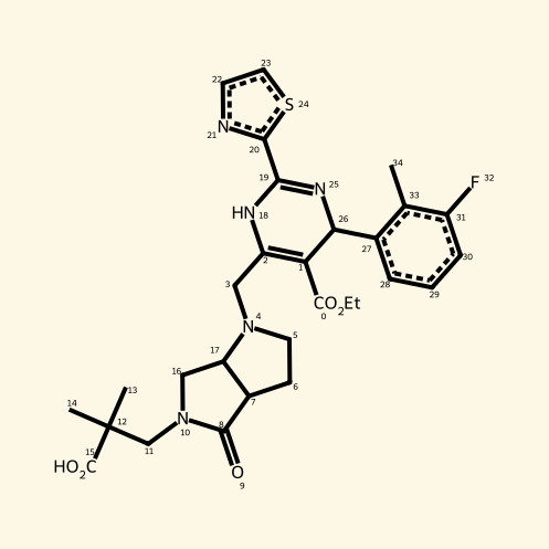 CCOC(=O)C1=C(CN2CCC3C(=O)N(CC(C)(C)C(=O)O)CC32)NC(c2nccs2)=NC1c1cccc(F)c1C